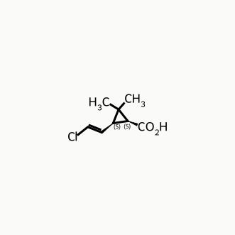 CC1(C)[C@H](C=CCl)[C@@H]1C(=O)O